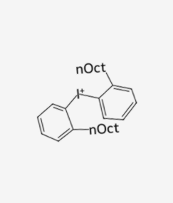 CCCCCCCCc1ccccc1[I+]c1ccccc1CCCCCCCC